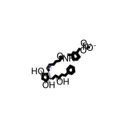 O=C(CCC/C=C\C[C@@H]1[C@@H](CC[C@@H](O)CCc2ccccc2)[C@H](O)C[C@@H]1O)NCc1cccc(CO[N+](=O)[O-])c1